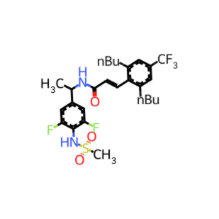 CCCCc1cc(C(F)(F)F)cc(CCCC)c1C=CC(=O)NC(C)c1cc(F)c(NS(C)(=O)=O)c(F)c1